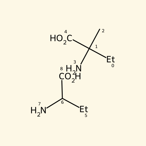 CCC(C)(N)C(=O)O.CCC(N)C(=O)O